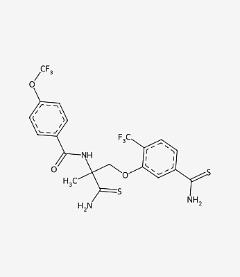 CC(COc1cc(C(N)=S)ccc1C(F)(F)F)(NC(=O)c1ccc(OC(F)(F)F)cc1)C(N)=S